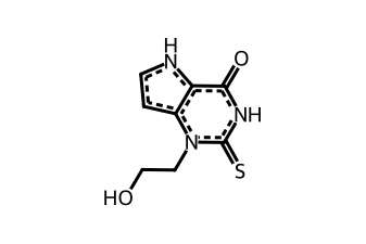 O=c1[nH]c(=S)n(CCO)c2cc[nH]c12